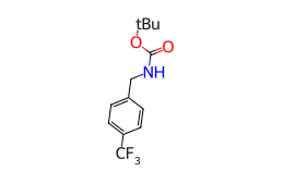 CC(C)(C)OC(=O)NCc1ccc(C(F)(F)F)cc1